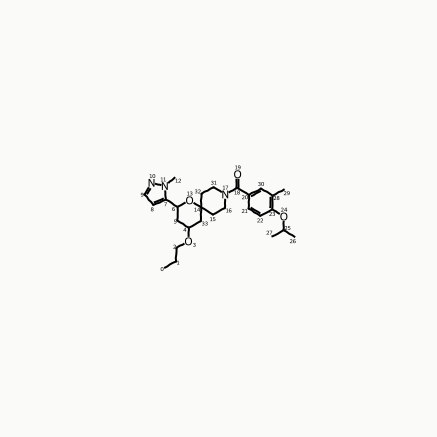 CCCOC1CC(c2ccnn2C)OC2(CCN(C(=O)c3ccc(OC(C)C)c(C)c3)CC2)C1